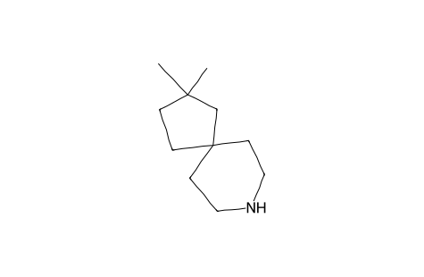 CC1(C)CCC2(CCNCC2)C1